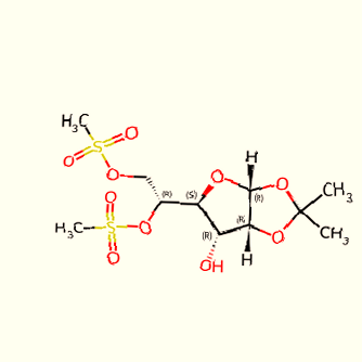 CC1(C)O[C@H]2O[C@H]([C@@H](COS(C)(=O)=O)OS(C)(=O)=O)[C@@H](O)[C@H]2O1